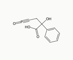 O=P#CCC(O)(C(=O)O)c1ccccc1